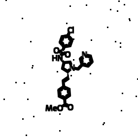 COC(=O)c1ccc(C=C[C@@H]2C[C@@H](NS(=O)(=O)c3ccc(Cl)cc3)CN2Cc2cccnc2)cc1